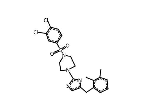 Cc1cccc(Cc2csc(N3CCN(S(=O)(=O)c4ccc(Cl)c(Cl)c4)CC3)n2)c1C